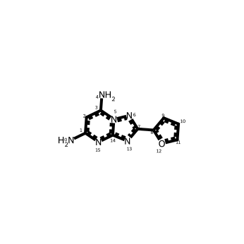 Nc1cc(N)n2nc(-c3ccco3)nc2n1